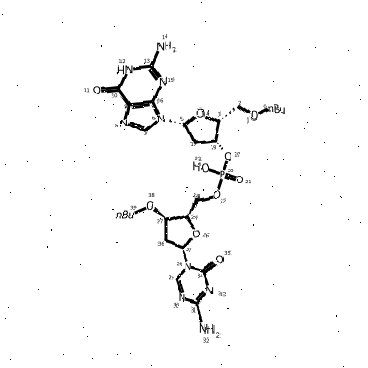 CCCCOC[C@H]1O[C@@H](n2cnc3c(=O)[nH]c(N)nc32)C[C@H]1OP(=O)(O)OC[C@H]1O[C@@H](n2cnc(N)nc2=O)C[C@H]1OCCCC